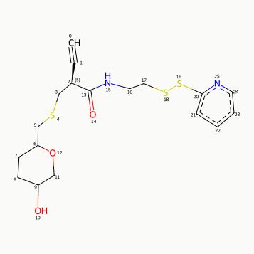 C#C[C@H](CSCC1CCC(O)CO1)C(=O)NCCSSc1ccccn1